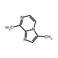 Cc1nccn2c(C)cnc12